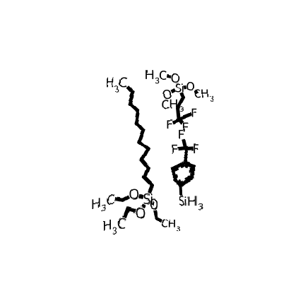 CCCCCCCCCCCC[Si](OCC)(OCC)OCC.CO[Si](CCC(F)(F)F)(OC)OC.FC(F)(F)c1ccc([SiH3])cc1